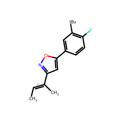 C/C=C(\C)c1cc(-c2ccc(F)c(C(C)(C)C)c2)on1